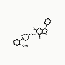 COc1ccccc1N1CCN(CCn2c(=O)[nH]c3c(-c4ccccc4)coc3c2=O)CC1